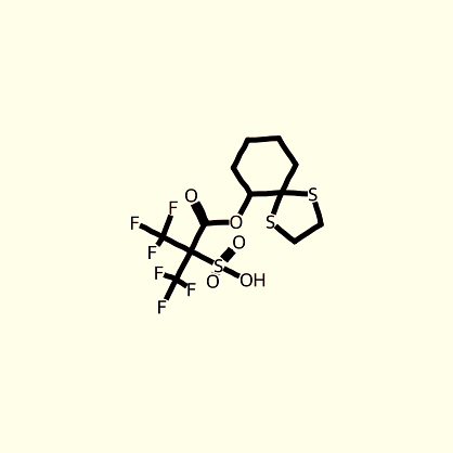 O=C(OC1CCCCC12SCCS2)C(C(F)(F)F)(C(F)(F)F)S(=O)(=O)O